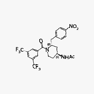 CC(=O)N[C@H]1CCN(C(=O)c2cc(C(F)(F)F)cc(C(F)(F)F)c2)[C@H](Cc2ccc([N+](=O)[O-])cc2)C1